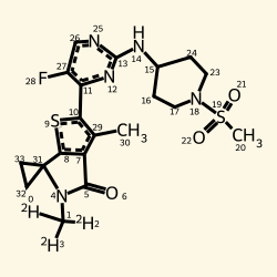 [2H]C([2H])([2H])N1C(=O)c2c(sc(-c3nc(NC4CCN(S(C)(=O)=O)CC4)ncc3F)c2C)C12CC2